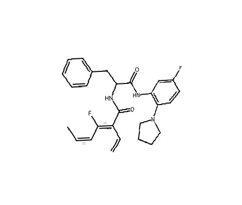 C=C/C(C(=O)NC(Cc1ccccc1)C(=O)Nc1cc(F)ccc1N1CCCC1)=C(F)\C=C/C